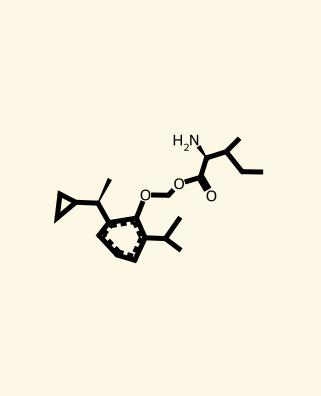 CCC(C)[C@H](N)C(=O)OCOc1c(C(C)C)cccc1[C@H](C)C1CC1